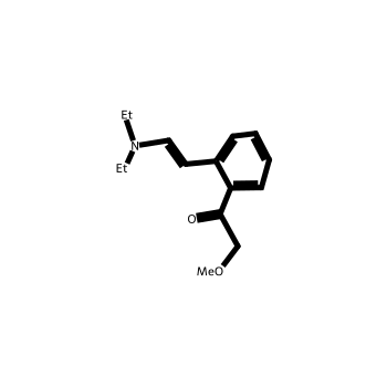 CCN(C=Cc1ccccc1C(=O)COC)CC